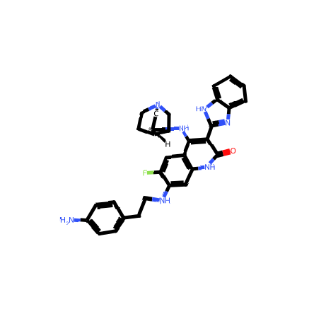 Nc1ccc(CCNc2cc3[nH]c(=O)c(-c4nc5ccccc5[nH]4)c(N[C@H]4CN5CCC4CC5)c3cc2F)cc1